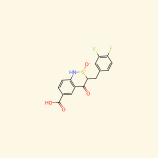 O=C(O)c1ccc2c(c1)C(=O)C(Cc1ccc(F)c(F)c1)[S+]([O-])N2